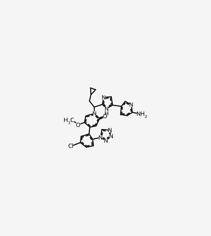 COc1cn(C(CC2CC2)c2ncc(-c3ccc(N)nc3)[nH]2)c(=O)cc1-c1cc(Cl)ccc1-n1cnnn1